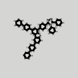 c1ccc(-c2ccc(-c3ccc4sc5c(-c6ccc(-c7nnc(-c8ccccc8)n7-c7ccccc7)cc6)cc(-c6ccc(-c7ccccc7)cc6)cc5c4c3)cc2)cc1